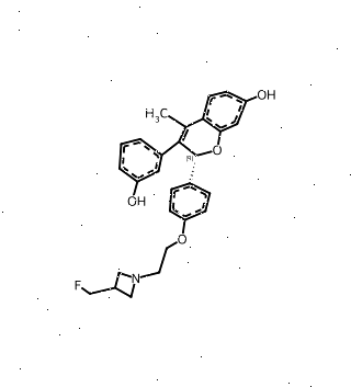 CC1=C(c2cccc(O)c2)[C@@H](c2ccc(OCCN3CC(CF)C3)cc2)Oc2cc(O)ccc21